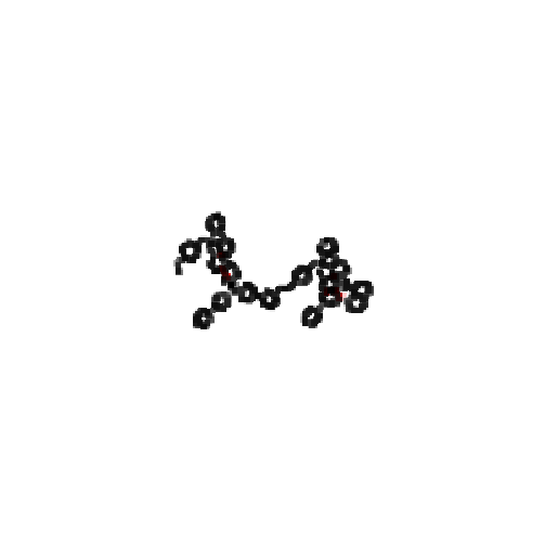 C=Cc1ccc(CC2(Cc3ccc(C=C)cc3)c3ccccc3-c3ccc(-c4ccc(N(c5ccc(-c6ccccc6)cc5)c5ccc(-c6cccc(/C=C/c7ccc(CC8(Cc9ccc(C=C)cc9)c9ccccc9-c9ccc(N(c%10ccc(-c%11ccccc%11)cc%10)c%10cccc%11ccccc%10%11)cc98)cc7)c6)cc5)cc4)cc32)cc1